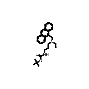 CCN(CCCNC(=O)OC(C)(C)C)Cc1c2ccccc2cc2ccccc12